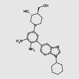 Nc1cc(N2CC[C@H](CO)[C@@H](O)C2)cc(-c2ccc3c(c2)ncn3C2CCCCC2)c1N